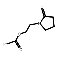 CC(C)C(=O)OCCN1CCCC1=O